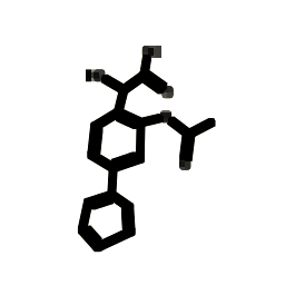 CC(=O)Oc1cc(-c2ccccc2)ccc1C(O)C(=O)O